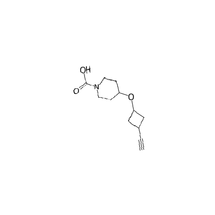 C#CC1CC(OC2CCN(C(=O)O)CC2)C1